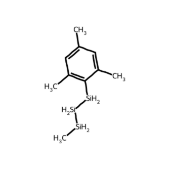 C[SiH2][SiH2][SiH2]c1c(C)cc(C)cc1C